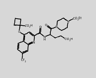 CCOC(=O)N1CCN(C(=O)C(CCC(=O)O)NC(=O)c2cc(OC3(C(=O)O)CCC3)c3ccc(C(F)(F)F)cc3n2)CC1